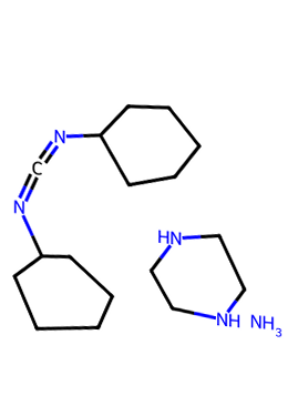 C(=NC1CCCCC1)=NC1CCCCC1.C1CNCCN1.N